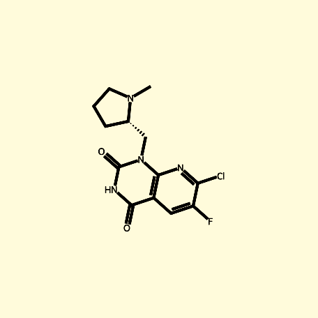 CN1CCC[C@H]1Cn1c(=O)[nH]c(=O)c2cc(F)c(Cl)nc21